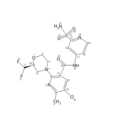 Cc1nc(N2CCO[C@H](C(F)F)C2)c(C(=O)Nc2ccnc(S(N)(=O)=O)c2)cc1Cl